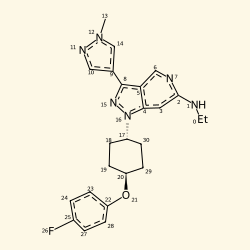 CCNc1cc2c(cn1)c(-c1cnn(C)c1)nn2[C@H]1CC[C@H](Oc2ccc(F)cc2)CC1